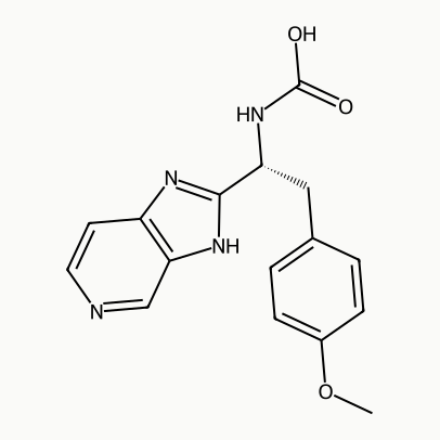 COc1ccc(C[C@@H](NC(=O)O)c2nc3ccncc3[nH]2)cc1